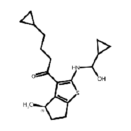 C[C@@H]1CCc2sc(NC(O)C3CC3)c(C(=O)CCCC3CC3)c21